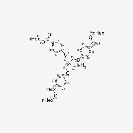 CCCCCCOC(=O)c1ccc(OCC(CN)(COc2ccc(C(=O)OCCCCCC)cc2)COc2ccc(C(=O)OCCCCCC)cc2)cc1